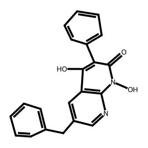 O=c1c(-c2ccccc2)c(O)c2cc(Cc3ccccc3)cnc2n1O